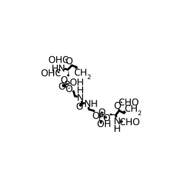 C=CC(OC=O)[C@H](COP(=O)(O)OCCNC(=O)NCCOP(=O)(O)OC[C@H](NC=O)C(C=C)OC=O)NC=O